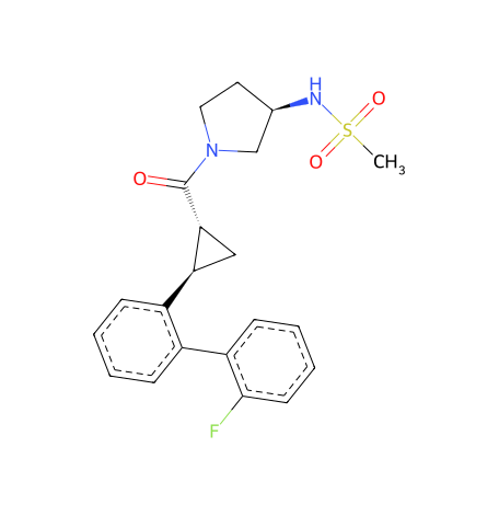 CS(=O)(=O)N[C@@H]1CCN(C(=O)[C@@H]2C[C@H]2c2ccccc2-c2ccccc2F)C1